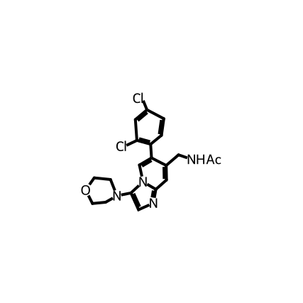 CC(=O)NCc1cc2ncc(N3CCOCC3)n2cc1-c1ccc(Cl)cc1Cl